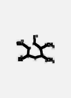 CCC(CC(C)C(C)CF)CC(C)(C)C